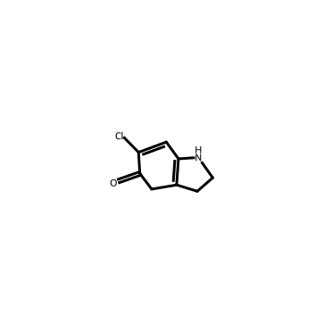 O=C1CC2=C(C=C1Cl)NCC2